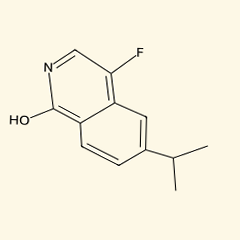 CC(C)c1ccc2c(O)ncc(F)c2c1